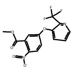 COC(=O)c1cc(Oc2cccnc2C(F)(F)F)ccc1[N+](=O)[O-]